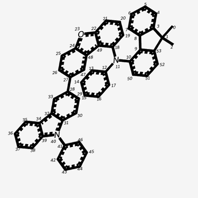 CC1(C)c2ccccc2-c2c(N(c3ccccc3)c3cccc4oc5ccc(-c6ccc7c(c6)c6ccccc6n7-c6ccccc6)cc5c34)cccc21